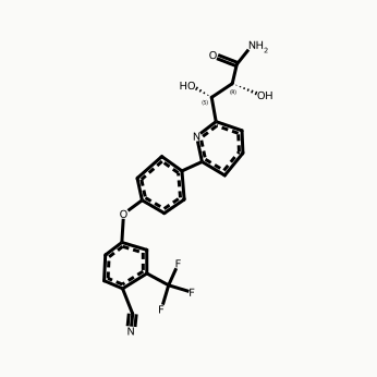 N#Cc1ccc(Oc2ccc(-c3cccc([C@H](O)[C@@H](O)C(N)=O)n3)cc2)cc1C(F)(F)F